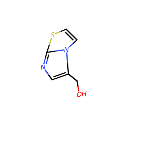 OCc1cnc2sccn12